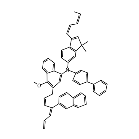 C=C/C=C(\C=C/Cc1cc(N(c2ccc(-c3ccccc3)cc2)c2ccc3c(c2)C(C)(C)C=C3/C=C\C=C/C)c2ccccc2c1OC)c1ccc2ccccc2c1